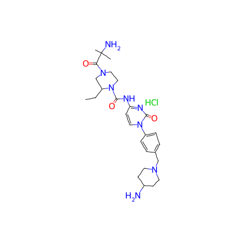 CCC1CN(C(=O)C(C)(C)N)CCN1C(=O)Nc1ccn(-c2ccc(CN3CCC(N)CC3)cc2)c(=O)n1.Cl